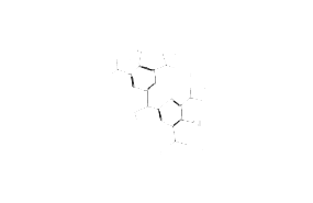 CCC(c1cc(C(C)C)c(N)c(C(C)C)c1)c1cc(C(C)C)c(N)c(C(C)C)c1